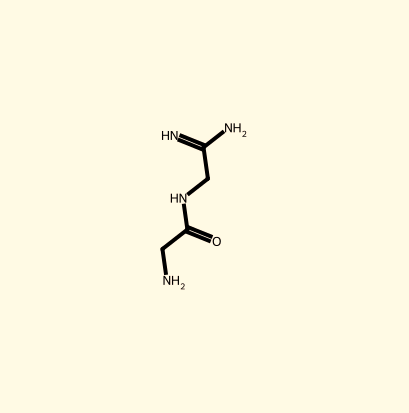 N=C(N)CNC(=O)CN